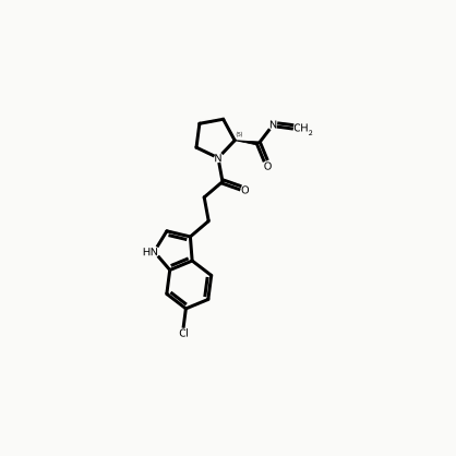 C=NC(=O)[C@@H]1CCCN1C(=O)CCc1c[nH]c2cc(Cl)ccc12